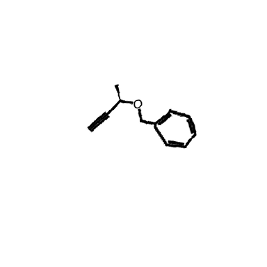 C#C[C@@H](C)OCc1ccccc1